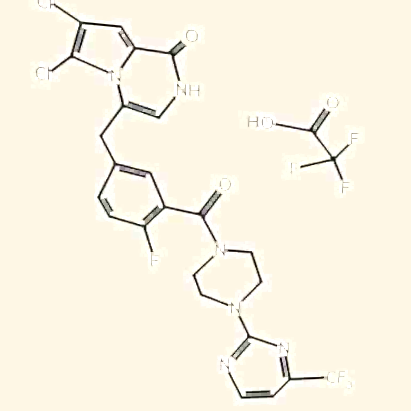 O=C(O)C(F)(F)F.O=C(c1cc(Cc2c[nH]c(=O)c3cc(Cl)c(Cl)n23)ccc1F)N1CCN(c2nccc(C(F)(F)F)n2)CC1